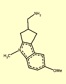 COc1ccc2c(c1)c1c(n2C)CC(CN)C1